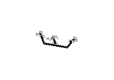 CCC(CC)COC(=O)CCCC/C=C\CCCCCCCCC(CCCCCCCC/C=C\CCCCC(=O)OCC(CC)CC)OC(=O)CCCN(C)C